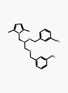 Cc1ccc(C)n1C[C@H](COCc1cccc(N)c1)OCc1cccc(N)c1